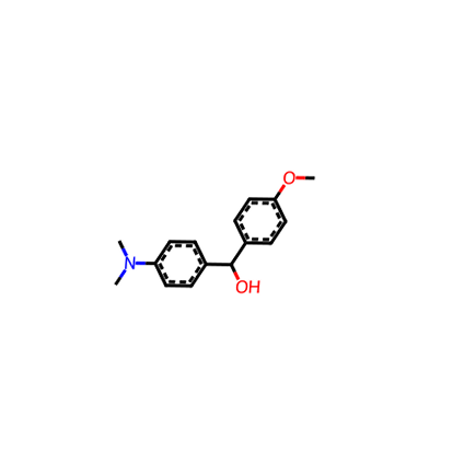 COc1ccc(C(O)c2ccc(N(C)C)cc2)cc1